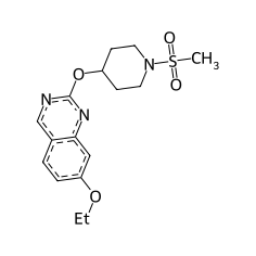 CCOc1ccc2cnc(OC3CCN(S(C)(=O)=O)CC3)nc2c1